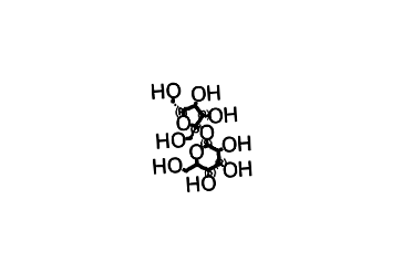 OCC1O[C@@H](O[C@]2(CO)O[C@H](CO)C(O)[C@H]2O)C(O)[C@H](O)[C@@H]1O